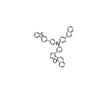 c1cc(-c2cccc3oc4c5ccccc5ccc4c23)cc(N(c2ccc(-c3ccc4ccccc4c3)cc2)c2ccc(-c3ccc4c(c3)sc3ccccc34)cc2)c1